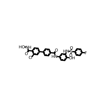 O=C(Nc1ccc(O)c(NS(=O)(=O)c2ccc(F)cc2)c1)c1ccc(-c2ccc(C(=O)NO)c(Cl)c2)cc1